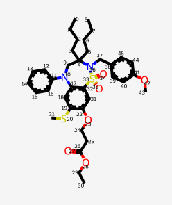 CCCCC1(CCCC)CN(c2ccccc2)c2cc(SC)c(OCCC(=O)OCC)cc2S(=O)(=O)N1Cc1ccc(OC)cc1